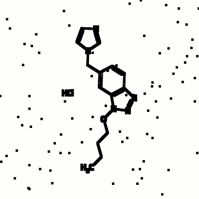 CCCCOn1nnc2ccc(Cn3ccnc3)cc21.Cl